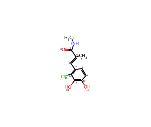 CNC(=O)/C(C)=C/c1ccc(O)c(O)c1Cl